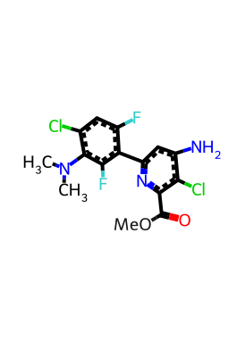 COC(=O)c1nc(-c2c(F)cc(Cl)c(N(C)C)c2F)cc(N)c1Cl